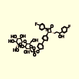 O=C1[C@H](CC[C@H](O)c2ccc(F)cc2)[C@@H](c2ccc(-c3ccc(OS(=O)(=O)C[C@@H]4O[C@H](CO)C(O[C@@H]5O[C@H](CO)[C@@H](O)[C@H](O)[C@H]5O)[C@H](O)[C@H]4O)cc3)cc2)N1c1ccc(F)cc1